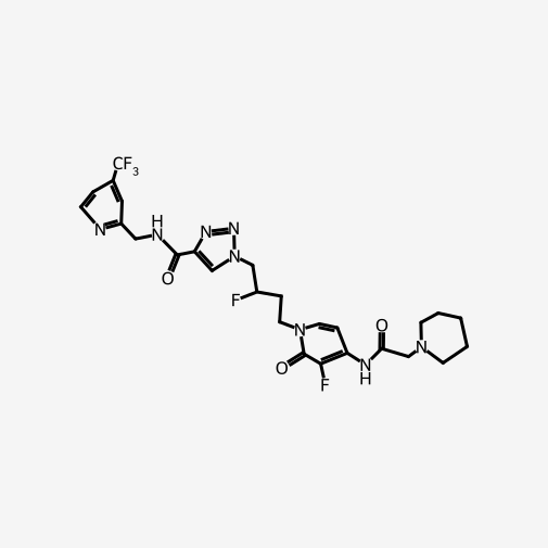 O=C(CN1CCCCC1)Nc1ccn(CCC(F)Cn2cc(C(=O)NCc3cc(C(F)(F)F)ccn3)nn2)c(=O)c1F